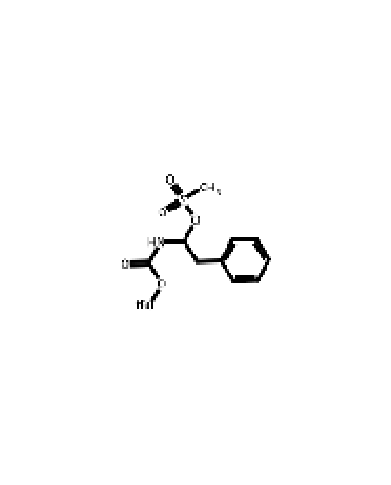 CC(C)(C)OC(=O)NC(Cc1ccccc1)OS(C)(=O)=O